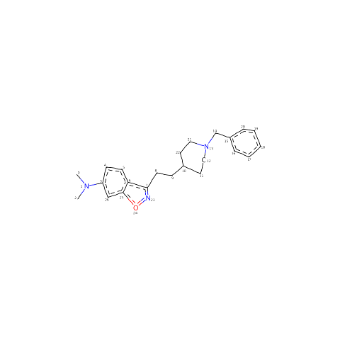 CN(C)c1ccc2c(CCC3CCN(Cc4ccccc4)CC3)noc2c1